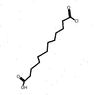 O=C(O)CCCCCCCCCCC(=O)Cl